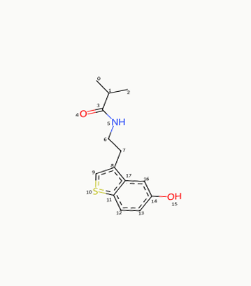 CC(C)C(=O)NCCc1csc2ccc(O)cc12